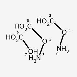 NOC(=O)O.NOC(=O)O.O=C(O)O